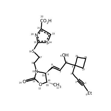 CCC#CCC1(C(O)C=C[C@H]2[C@H](C)OC(=O)N2CCSc2nc(C(=O)O)cs2)CCC1